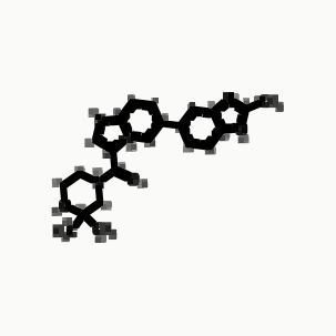 Cc1nc2cc(-c3ccc4ncc(C(=O)N5CCOC(C)(C)C5)n4c3)ccc2o1